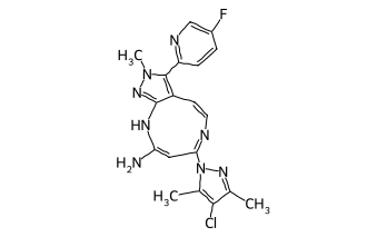 Cc1nn(-c2cc(N)[nH]c3nn(C)c(-c4ccc(F)cn4)c3ccn2)c(C)c1Cl